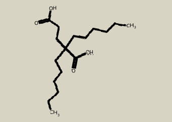 CCCCCCC(CCCCCC)(CCC(=O)O)C(=O)O